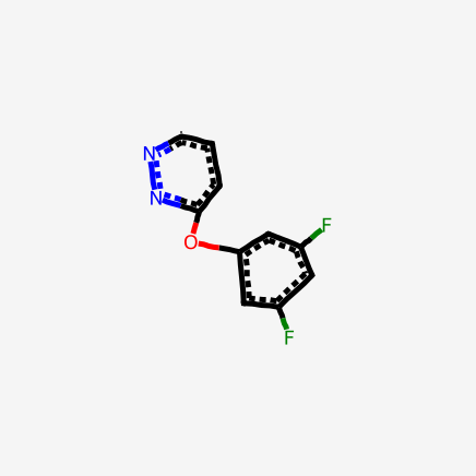 Fc1cc(F)cc(Oc2cc[c]nn2)c1